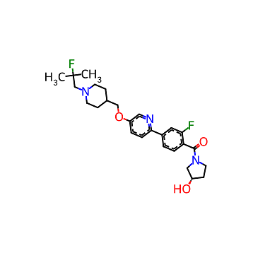 CC(C)(F)CN1CCC(COc2ccc(-c3ccc(C(=O)N4CC[C@@H](O)C4)c(F)c3)nc2)CC1